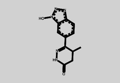 CC1CC(=O)NN=C1c1ccc2nnn(O)c2c1